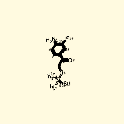 CC(C)(C)[Si](C)(C)OCC(=O)c1ccc(N)c(F)c1